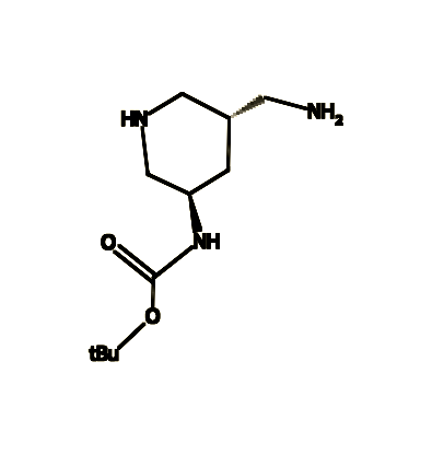 CC(C)(C)OC(=O)N[C@H]1CNC[C@H](CN)C1